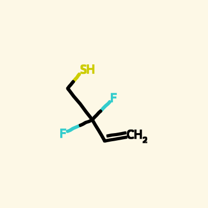 C=CC(F)(F)CS